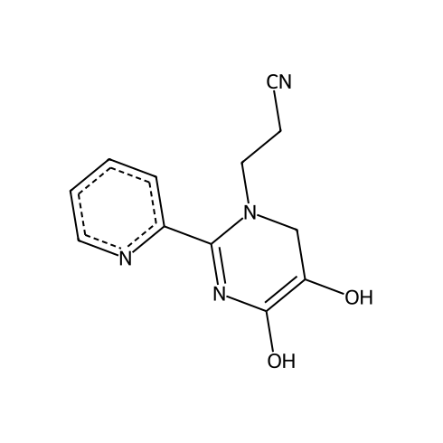 N#CCCN1CC(O)=C(O)N=C1c1ccccn1